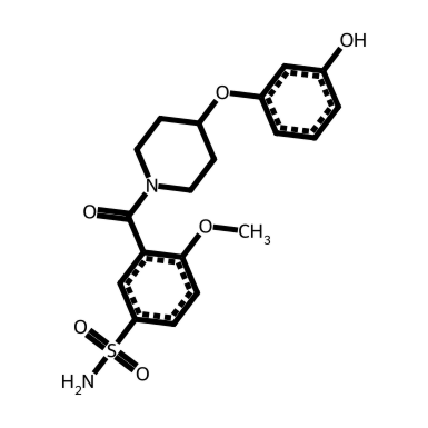 COc1ccc(S(N)(=O)=O)cc1C(=O)N1CCC(Oc2cccc(O)c2)CC1